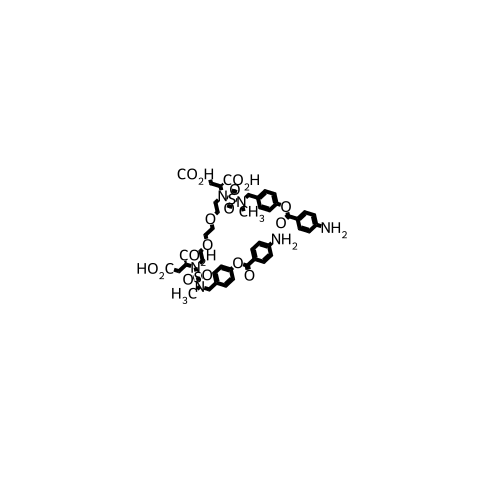 CN(Cc1ccc(OC(=O)c2ccc(N)cc2)cc1)S(=O)(=O)N(CCOCCOCCN([C@@H](CC(=O)O)C(=O)O)S(=O)(=O)N(C)Cc1ccc(OC(=O)c2ccc(N)cc2)cc1)[C@@H](CC(=O)O)C(=O)O